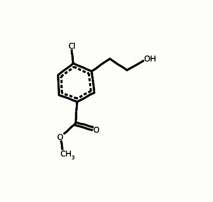 COC(=O)c1ccc(Cl)c(CCO)c1